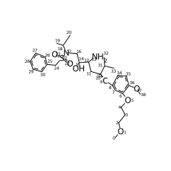 COCCCOc1cc(C[C@@H](CC(N)C(O)CN(C(C)C)S(=O)(=O)Cc2ccccc2)C(C)C)ccc1OC